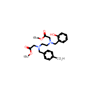 CC(C)(C)OC(=O)CN(CCN(CC(=O)OC(C)(C)C)Cc1ccccc1O)Cc1ccc(C(=O)O)cc1